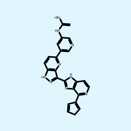 C=C(CCCC)Nc1cncc(-c2ccc3[nH]nc(-c4nc5c(C6=CCC=C6)nccc5[nH]4)c3n2)c1